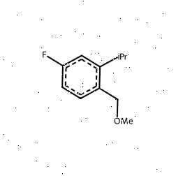 COCc1ccc(F)cc1C(C)C